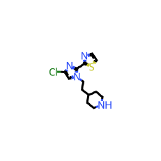 Clc1cn(CCC2CCNCC2)c(-c2nccs2)n1